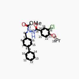 COC(=O)N(Cc1ccc(-c2ccccc2)cc1)NC(=O)c1ccc(OC(C)C)c(Cl)c1